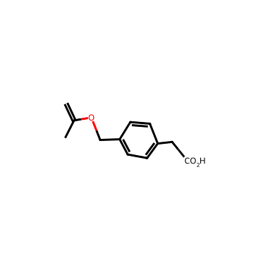 C=C(C)OCc1ccc(CC(=O)O)cc1